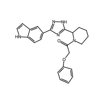 O=C(COc1ccccc1)N1CCCCC1c1nc(-c2ccc3[nH]ccc3c2)n[nH]1